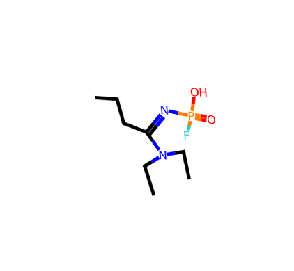 CCCC(=NP(=O)(O)F)N(CC)CC